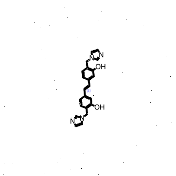 Oc1cc(/C=C/c2ccc(Cn3ccnc3)c(O)c2)ccc1Cn1ccnc1